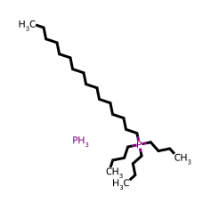 CCCCCCCCCCCCCCCC[P](CCCC)(CCCC)CCCC.P